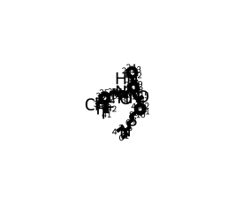 CCN(CC)CCSCc1cccc(C(=O)Nc2ccc(N3CCCCC3)cc2C(=O)NN=Cc2ccc(Cl)c(C(F)(F)F)c2)c1